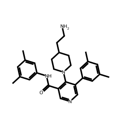 Cc1cc(C)cc(NC(=O)c2cncc(-c3cc(C)cc(C)c3)c2N2CCC(CCN)CC2)c1